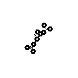 c1ccc(N(c2ccccc2)c2ccc(-c3ccc4c(c3)Sc3cccc5c3c-4cc3ccc(N(c4ccccc4)c4ccccc4)cc35)cc2)cc1